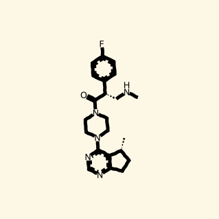 CNC[C@H](C(=O)N1CCN(c2ncnc3c2[C@H](C)CC3)CC1)c1ccc(F)cc1